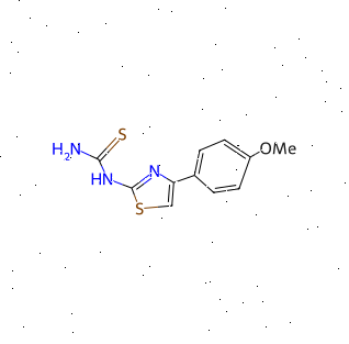 COc1ccc(-c2csc(NC(N)=S)n2)cc1